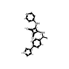 CC(Nc1c(Nc2ccncc2)c(=O)c1=O)c1ccc(-c2ccoc2)cc1